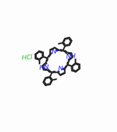 Cc1ccccc1-c1c2nc(c(-c3ccccc3C)c3ccc([nH]3)c(-c3ccccc3C)c3nc(c(-c4ccccc4C)c4ccc1[nH]4)C=C3)C=C2.Cl